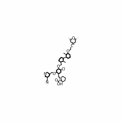 Cc1c(COc2cc(OCc3cncc(C#N)c3)c(CN3CCCC[C@H]3C(=O)O)cc2Cl)cccc1-c1cccc(OCCCN2C[C@@H](C)O[C@@H](C)C2)c1C